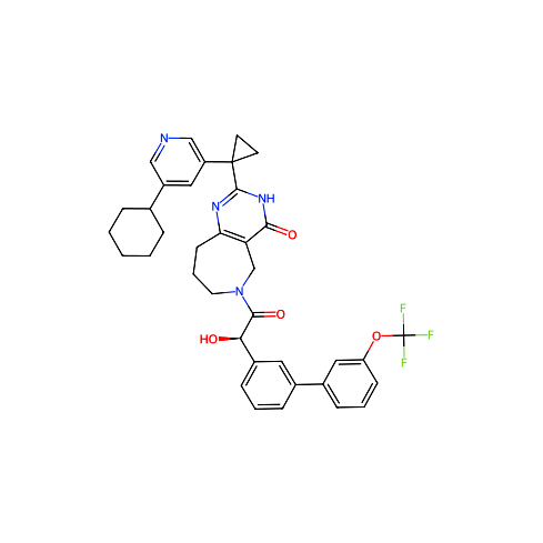 O=C([C@H](O)c1cccc(-c2cccc(OC(F)(F)F)c2)c1)N1CCCc2nc(C3(c4cncc(C5CCCCC5)c4)CC3)[nH]c(=O)c2C1